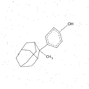 CC1(c2ccc(O)cc2)[C]2CC3CC(C2)CC1C3